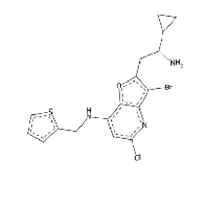 N[C@H](Cc1oc2c(NCc3cccs3)cc(Cl)nc2c1Br)C1CC1